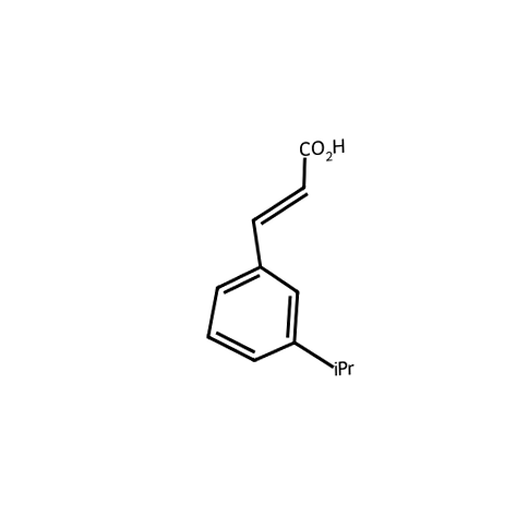 CC(C)c1cccc(C=CC(=O)O)c1